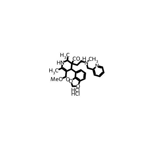 COC(=O)C1=C(C)NC(C)C(CCN(C)Cc2ccccn2)(C(=O)O)C1c1cccc2c1OCO2.Cl.Cl